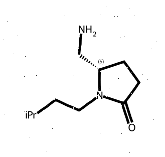 CC(C)CCN1C(=O)CC[C@H]1CN